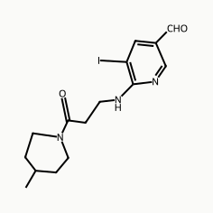 CC1CCN(C(=O)CCNc2ncc(C=O)cc2I)CC1